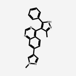 Cc1n[nH]c(-c2ccccc2)c1-c1ncnc2cc(-c3cnn(C)c3)ccc12